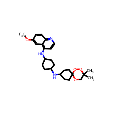 CC1(C)COC2(CCC(NC3CCC(Nc4ccnc5ccc(OC(F)(F)F)cc45)CC3)CC2)OO1